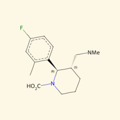 CNC[C@@H]1CCCN(C(=O)O)[C@H]1c1ccc(F)cc1C